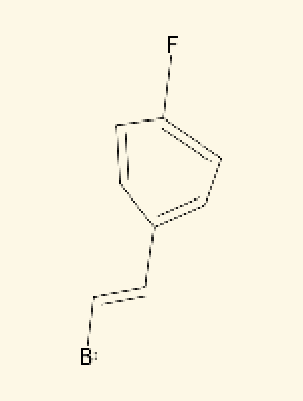 [B]C=Cc1ccc(F)cc1